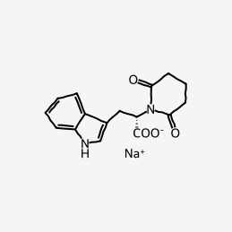 O=C([O-])[C@H](Cc1c[nH]c2ccccc12)N1C(=O)CCCC1=O.[Na+]